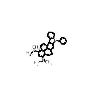 CN(C)c1cc(N(C)C)c2ccc3c4c(cc5ccc1c2c53)B(c1ccccc1)c1ccccc1-4